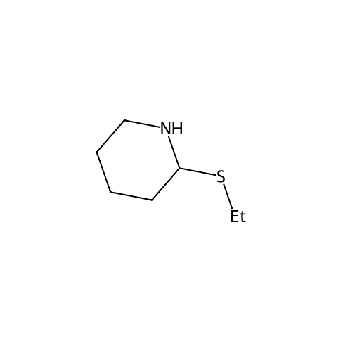 CCSC1CCCCN1